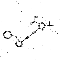 CC(C)(C)c1cn(C(=O)O)c(C#CC#Cc2nccn2Cc2ccccc2)n1